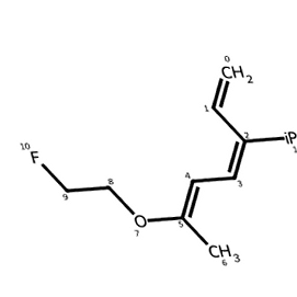 C=C/C(=C\C=C(/C)OCCF)C(C)C